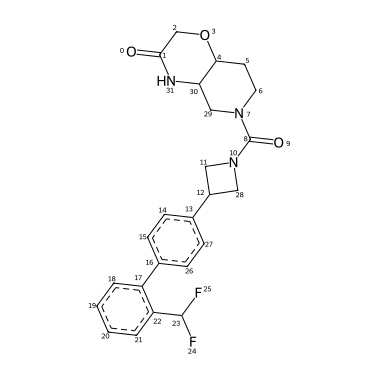 O=C1COC2CCN(C(=O)N3CC(c4ccc(-c5ccccc5C(F)F)cc4)C3)CC2N1